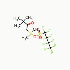 CC(C)(C)C(=O)CS(C)(C)OS(=O)(=O)C(F)(F)C(F)(F)C(F)(F)C(F)(F)F